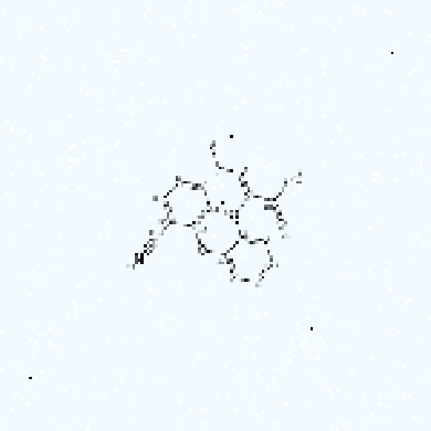 CC/C=C(\Oc1ccccc1Oc1ccccc1C#N)C(=O)O